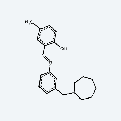 Cc1ccc(O)c(/N=N/c2cccc(CC3CCCCCC3)c2)c1